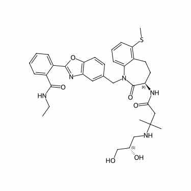 CCNC(=O)c1ccccc1-c1nc2cc(CN3C(=O)[C@H](NC(=O)CC(C)(C)NC[C@H](O)CO)CCc4c(SC)cccc43)ccc2o1